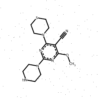 COc1nc(N2CCNCC2)nc(N2CCSCC2)c1C#N